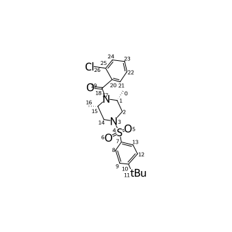 C[C@@H]1CN(S(=O)(=O)c2ccc(C(C)(C)C)cc2)C[C@H](C)N1C(=O)c1ccccc1Cl